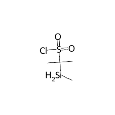 C[SiH2]C(C)(C)S(=O)(=O)Cl